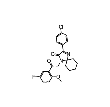 COc1ccc(F)cc1C(=O)CN1C(=O)C(c2ccc(Cl)cc2)=NC12CCCCC2